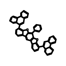 c1ccc(-c2c3oc4c(-c5cc6ccccc6c6ccccc56)cccc4c3cc3c2oc2c(-c4cc5ccccc5c5ccccc45)cccc23)cc1